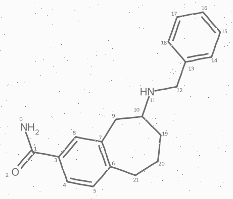 NC(=O)c1ccc2c(c1)CC(NCc1ccccc1)CCC2